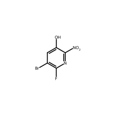 O=[N+]([O-])c1nc(F)c(Br)cc1O